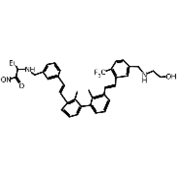 CCC(NCc1cccc(/C=C/c2cccc(-c3cccc(/C=C/c4cc(CNCCO)ccc4C(F)(F)F)c3C)c2C)c1)C(=O)N=O